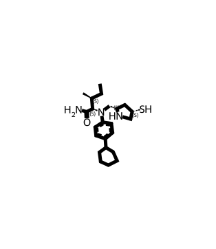 CC[C@H](C)[C@@H](C(N)=O)N(C[C@@H]1C[C@H](S)CN1)c1ccc(C2CCCCC2)cc1